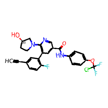 C#Cc1ccc(F)c(-c2cc(C(=O)Nc3ccc(OC(F)(F)Cl)cc3)cnc2N2CC[C@@H](O)C2)c1